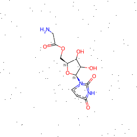 NCC(=O)OC[C@@H]1O[C@H](n2ccc(=O)[nH]c2=O)C(O)C1O